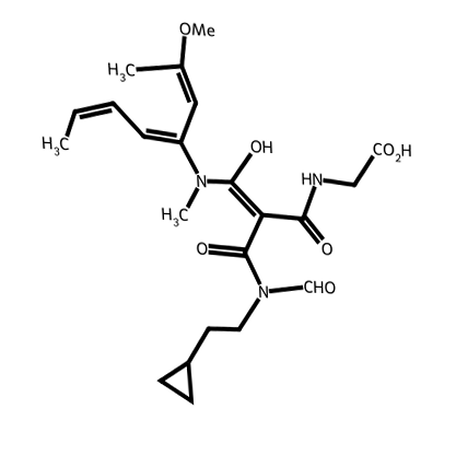 C\C=C/C=C(\C=C(/C)OC)N(C)/C(O)=C(/C(=O)NCC(=O)O)C(=O)N(C=O)CCC1CC1